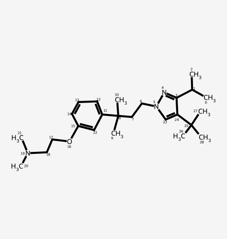 CC(C)c1nn(CCC(C)(C)c2cccc(OCCN(C)C)c2)cc1C(C)(C)C